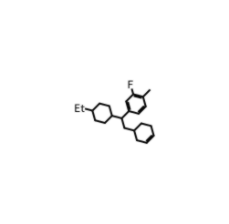 CCC1CCC(C(CC2CC=CCC2)c2ccc(C)c(F)c2)CC1